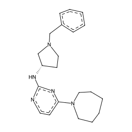 c1ccc(CN2CC[C@H](Nc3nccc(N4CCCCCC4)n3)C2)cc1